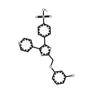 CS(=O)(=O)c1ccc(-c2sc(COc3cccc(Cl)c3)nc2-c2ccncc2)cc1